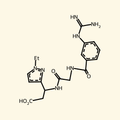 CCn1ccc(C(CC(=O)O)NC(=O)CNC(=O)c2cccc(NC(=N)N)c2)n1